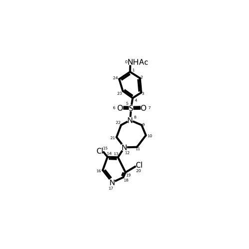 CC(=O)Nc1ccc(S(=O)(=O)N2CCCN(c3c(Cl)cncc3Cl)CC2)cc1